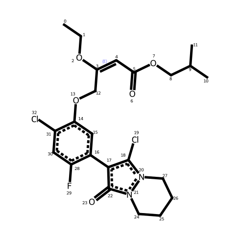 CCO/C(=C/C(=O)OCC(C)C)COc1cc(-c2c(Cl)n3n(c2=O)CCCC3)c(F)cc1Cl